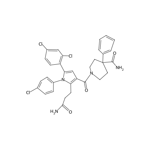 NC(=O)CCc1c(C(=O)N2CCC(C(N)=O)(c3ccccc3)CC2)cc(-c2ccc(Cl)cc2Cl)n1-c1ccc(Cl)cc1